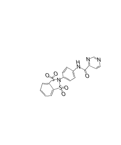 O=C(Nc1ccc(N2S(=O)(=O)c3ccccc3S2(=O)=O)cc1)c1ccncn1